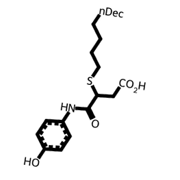 CCCCCCCCCCCCCCSC(CC(=O)O)C(=O)Nc1ccc(O)cc1